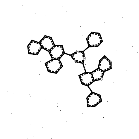 c1ccc(-c2nc(-c3cc4ccc5ccccc5c4c4ccccc34)nc(-c3ccc(-c4ccccc4)c4oc5ccccc5c34)n2)cc1